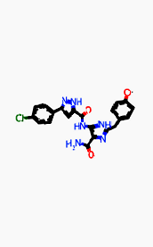 NC(=O)c1nc(Cc2ccc([O])cc2)[nH]c1NC(=O)c1cc(-c2ccc(Cl)cc2)n[nH]1